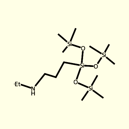 C[CH]NCCC[Si](O[Si](C)(C)C)(O[Si](C)(C)C)O[Si](C)(C)C